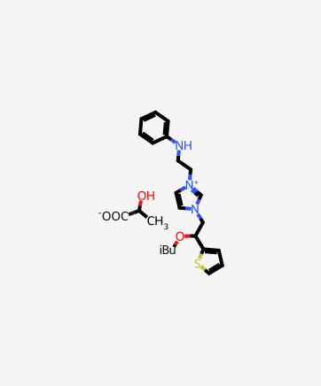 CC(O)C(=O)[O-].CCC(C)OC(Cn1cc[n+](CCNc2ccccc2)c1)c1cccs1